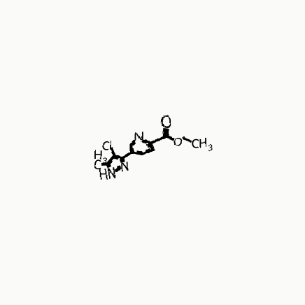 CCOC(=O)c1ccc(-c2n[nH]c(C)c2Cl)cn1